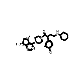 C[C@@H]1C[C@@H](O)c2ncnc(N3CCN(C(=O)C(CCNC4CCCCC4)c4ccc(Cl)cc4)CC3)c21